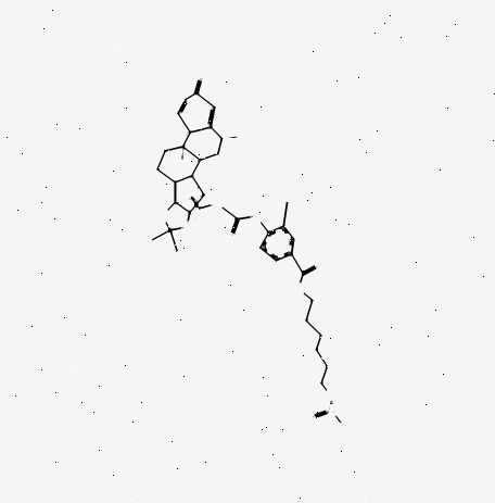 Cc1cc(C(=O)OCCCCCCO[N+](=O)[O-])ccc1OC(=O)OCC(=O)[C@@]12OC(C)(C)O[C@@H]1CC1C3C[C@H](F)C4=CC(=O)C=C[C@]4(C)[C@@]3(F)[C@@H](O)C[C@@]12C